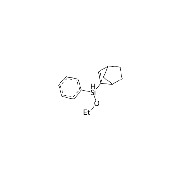 CCO[SiH](C1=CC2CCC1C2)c1ccccc1